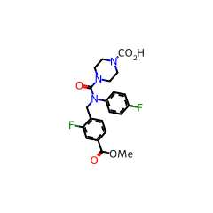 COC(=O)c1ccc(CN(C(=O)N2CCN(C(=O)O)CC2)c2ccc(F)cc2)c(F)c1